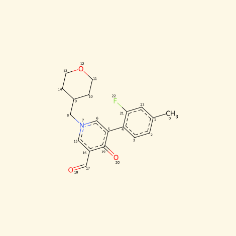 Cc1ccc(-c2cn(CC3CCOCC3)cc(C=O)c2=O)c(F)c1